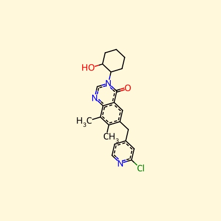 Cc1c(Cc2ccnc(Cl)c2)cc2c(=O)n(C3CCCCC3O)cnc2c1C